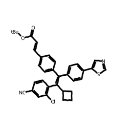 CC(C)(C)OC(=O)C=Cc1ccc(C(=C(c2ccc(C#N)cc2Cl)C2CCC2)c2ccc(-c3cncs3)cc2)cc1